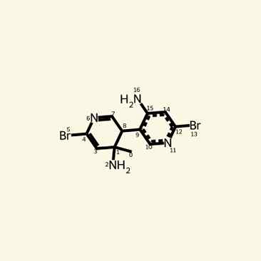 CC1(N)C=C(Br)N=CC1c1cnc(Br)cc1N